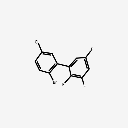 Fc1[c]c(F)c(F)c(-c2cc(Cl)ccc2Br)c1